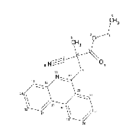 CCOC(=O)C(C)(C#N)Cc1nc2ccccc2c2ccccc12